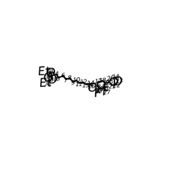 CCOP(=O)(CCCCCCCCCCCOc1ccc(C2CCOCC2)c(F)c1F)OCC